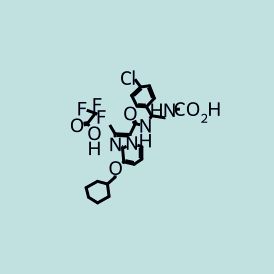 Cc1nc2c(OCC3CCCCC3)cccn2c1C(=O)NC(CNC(=O)O)c1ccc(Cl)cc1.O=C(O)C(F)(F)F